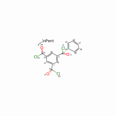 CCCCCC.O=C(Cl)c1cc(C(=O)Cl)cc(C(=O)Cl)c1.c1ccccc1